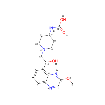 COc1cnc2cccc(C(O)CN3CCC(NC(=O)O)CC3)c2n1